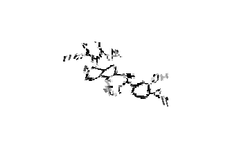 CCOc1cc(C(Nc2ccc3c(N(C(=O)OC(C)(C)C)C(=O)OC(C)(C)C)nccc3c2F)C(=O)O)ccc1OC(C)C